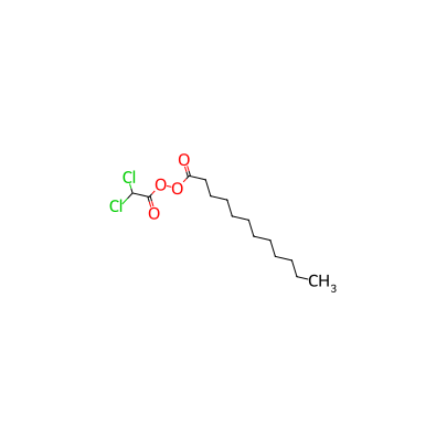 CCCCCCCCCCCC(=O)OOC(=O)C(Cl)Cl